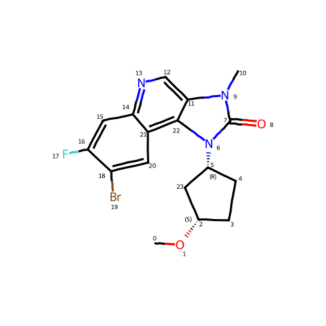 CO[C@H]1CC[C@@H](n2c(=O)n(C)c3cnc4cc(F)c(Br)cc4c32)C1